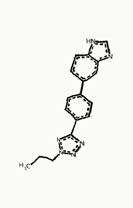 CCCn1nnc(-c2[c]cc(-c3ccc4[nH]cnc4c3)cc2)n1